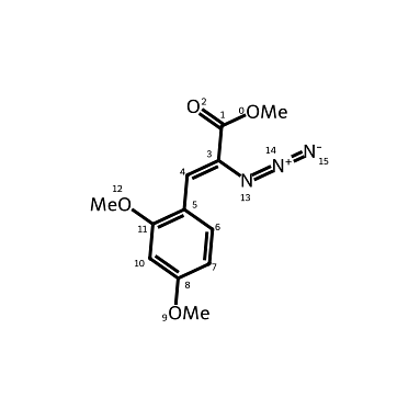 COC(=O)/C(=C/c1ccc(OC)cc1OC)N=[N+]=[N-]